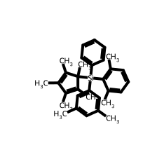 CC1=C(C)C(C)([Si](c2ccccc2)(c2cc(C)cc(C)c2)c2c(C)cccc2C)C(C)=C1C